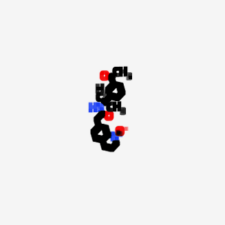 CC(=O)c1cccc(C(C)(C)NC(=O)Cc2ccc3ccc[n+]([O-])c3c2)c1